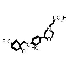 Cl.O=C(O)CCN1CCOC(c2ccc(OCc3cc(C(F)(F)F)ccc3Cl)cc2)C1